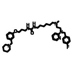 CN(CCCCCCNC(=O)NCCCOc1cccc(CN2CCCCC2)c1)CCN(Cc1ccc(F)cc1)c1ccccn1